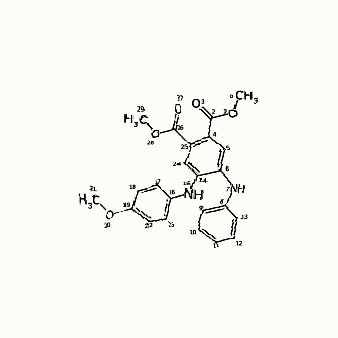 COC(=O)c1cc(Nc2ccccc2)c(Nc2ccc(OC)cc2)cc1C(=O)OC